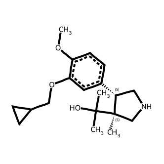 COc1ccc([C@@H]2CNC[C@@]2(C)C(C)(C)O)cc1OCC1CC1